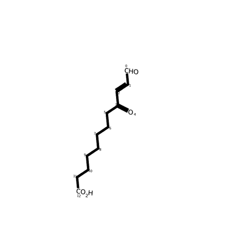 O=CC=CC(=O)CCCCCCCC(=O)O